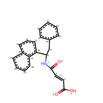 O=C(O)/C=C/C(=O)NC(Cc1ccccc1)c1cccc2ccccc12